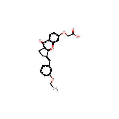 CCOc1cccc(C=C2CCc3c2oc2cc(OCC(=O)O)ccc2c3=O)c1